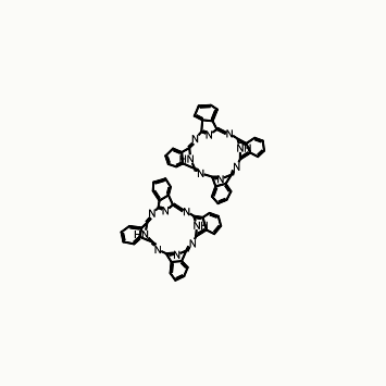 c1ccc2c(c1)-c1nc-2nc2[nH]c(nc3nc(nc4[nH]c(n1)c1ccccc41)-c1ccccc1-3)c1ccccc21.c1ccc2c(c1)-c1nc-2nc2[nH]c(nc3nc(nc4[nH]c(n1)c1ccccc41)-c1ccccc1-3)c1ccccc21